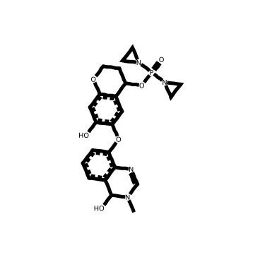 CN1C=Nc2c(Oc3cc4c(cc3O)OCCC4OP(=O)(N3CC3)N3CC3)cccc2C1O